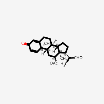 CC(=O)O[C@H]1C[C@H]2[C@@H](CCC3=CC(=O)C=C[C@@]32C)[C@@H]2CC[C@H](C(C)C=O)[C@@]12C